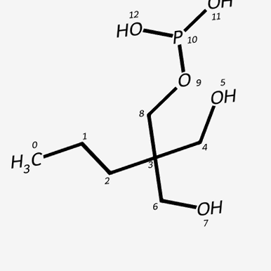 CCCC(CO)(CO)COP(O)O